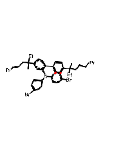 CCC(C)(CCCC(C)C)C1=C=C=C(c2ccc(C(C)(CC)CCCC(C)C)cc2N(C2=CC=C(Br)CC2)c2ccc(Br)cc2)C=C1